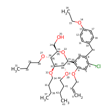 C=CCOc1cc(Cl)c(Cc2ccc(OCC)cc2)cc1[C@@H]1O[C@H](CO)[C@@H](OCCCC)[C@H](OCCCC)[C@H]1OCCCC